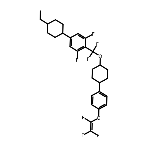 CCC1CCC(c2cc(F)c(C(F)(F)OC3CCC(c4ccc(OC(F)=C(F)F)cc4)CC3)c(F)c2)CC1